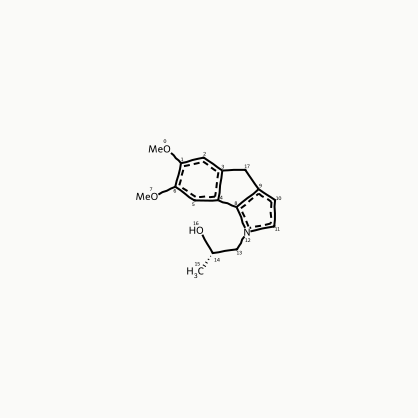 COc1cc2c(cc1OC)-c1c(ccn1C[C@H](C)O)C2